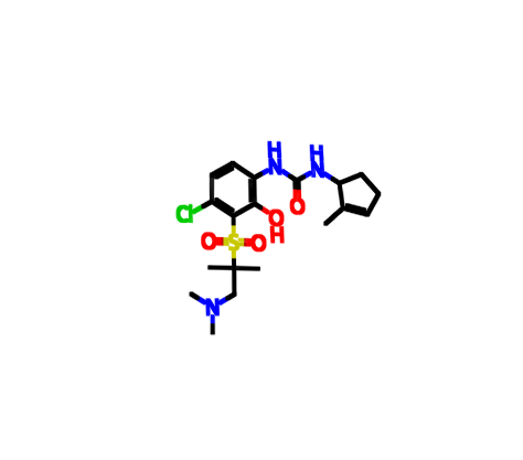 CC1=CCCC1NC(=O)Nc1ccc(Cl)c(S(=O)(=O)C(C)(C)CN(C)C)c1O